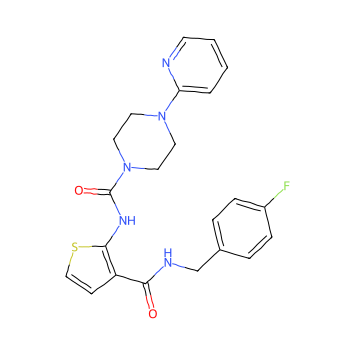 O=C(NCc1ccc(F)cc1)c1ccsc1NC(=O)N1CCN(c2ccccn2)CC1